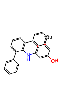 CC(C)(C)c1cc(O)cc(Nc2c(-c3ccccc3)cccc2-c2ccccc2)c1